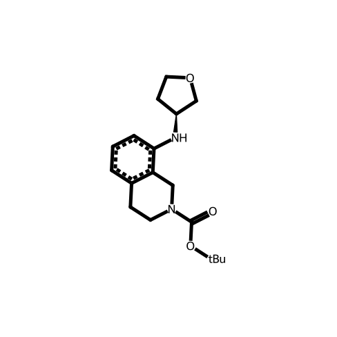 CC(C)(C)OC(=O)N1CCc2cccc(N[C@H]3CCOC3)c2C1